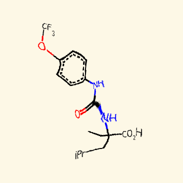 CC(C)CC(C)(NC(=O)Nc1ccc(OC(F)(F)F)cc1)C(=O)O